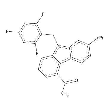 CCCc1c[c]c2c3c(C(N)=O)cccc3n(Cc3c(F)cc(F)cc3F)c2c1